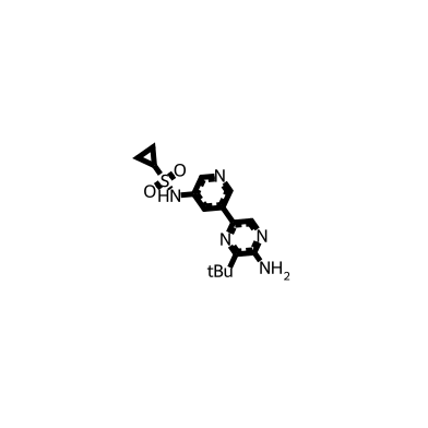 CC(C)(C)c1nc(-c2cncc(NS(=O)(=O)C3CC3)c2)cnc1N